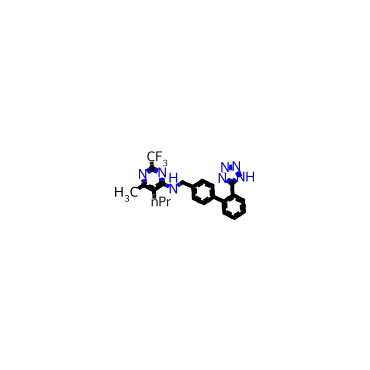 CCCc1c(C)nc(C(F)(F)F)nc1NCc1ccc(-c2ccccc2-c2nnn[nH]2)cc1